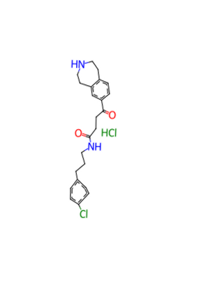 Cl.O=C(CCC(=O)c1ccc2c(c1)CCNCC2)NCCCc1ccc(Cl)cc1